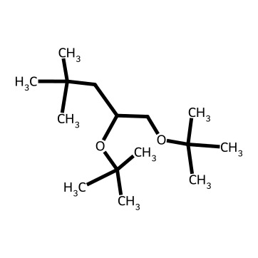 CC(C)(C)CC(COC(C)(C)C)OC(C)(C)C